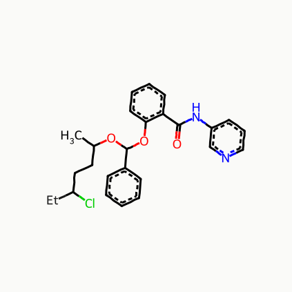 CCC(Cl)CCC(C)OC(Oc1ccccc1C(=O)Nc1cccnc1)c1ccccc1